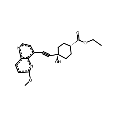 CCOC(=O)[C@H]1CC[C@@](O)(C#Cc2ccnc3ccc(OC)nc23)CC1